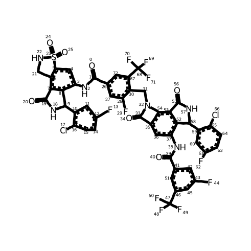 O=C(Nc1cc2c(c3c1C(c1cc(F)ccc1Cl)NC3=O)CNS2(=O)=O)c1cc(F)c(CN2C(=O)c3cc(NC(=O)c4cc(F)cc(C(F)(F)F)c4)c4c(c32)C(=O)NC4c2cc(F)ccc2Cl)c(C(F)(F)F)c1